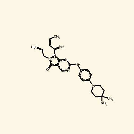 C=CCn1c(=O)c2cnc(Nc3ccc(N4CCC(C)(N)CC4)cc3)nc2n1C(=N)/C=C\C